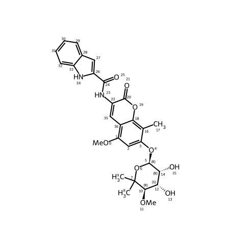 COc1cc(O[C@@H]2OC(C)(C)[C@H](OC)[C@@H](O)[C@H]2O)c(C)c2oc(=O)c(NC(=O)c3cc4ccccc4[nH]3)cc12